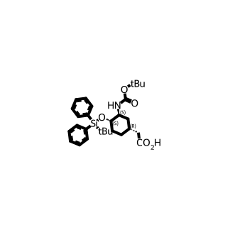 CC(C)(C)OC(=O)N[C@H]1C[C@H](CC(=O)O)CC[C@@H]1O[Si](c1ccccc1)(c1ccccc1)C(C)(C)C